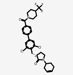 O=C(c1ccc(-c2cc(Cl)c(C[C@@H]3CCN(C4CC=CCC4)C3=O)c(Cl)c2)cc1)N1CCC(C(F)(F)F)CC1